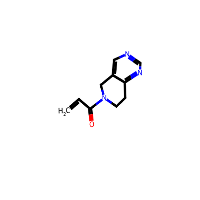 C=CC(=O)N1CCc2ncncc2C1